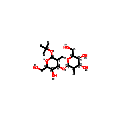 CC1[C@H](O[C@@H]2C(C)C(OC(C)(C)C)OC(CO)[C@@H]2O)OC(CO)[C@H](O)[C@@H]1O